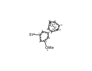 CCc1cccc(OC)c1.c1cc2ccc1CO2